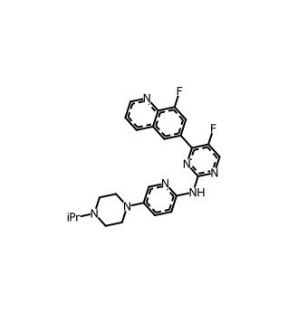 CC(C)N1CCN(c2ccc(Nc3ncc(F)c(-c4cc(F)c5ncccc5c4)n3)nc2)CC1